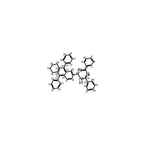 c1ccc(C2=NC(c3ccc4c(-c5ccccc5)c5c(c(-c6ccccc6)c4c3)CCCC5)NC(c3ccccc3)=N2)cc1